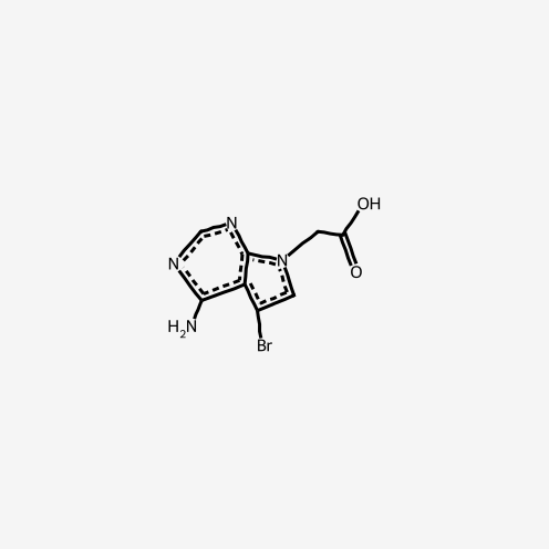 Nc1ncnc2c1c(Br)cn2CC(=O)O